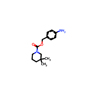 CC1(C)CCCN(C(=O)OCc2ccc(N)cc2)C1